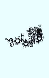 CCOC(=O)c1ccc(Nc2cccc(S(=O)(=O)NC(=O)c3cccnc3N3CC(S(C)(=O)=O)CC3(S(C)(=O)=O)S(C)(=O)=O)n2)cc1